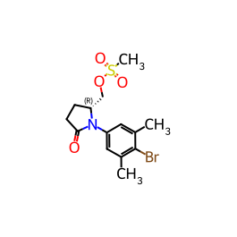 Cc1cc(N2C(=O)CC[C@@H]2COS(C)(=O)=O)cc(C)c1Br